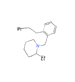 CCC1CCCCN1Cc1ccc[c]c1CCC(C)C